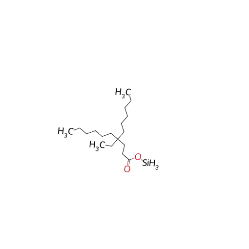 CCCCCCC(CC)(CCCCCC)CCC(=O)O[SiH3]